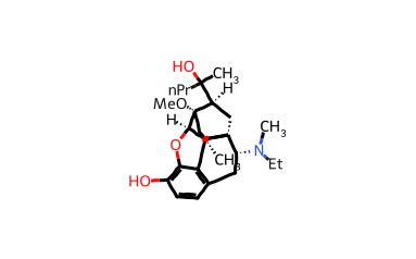 CCCC(C)(O)[C@H]1C[C@@]23CC[C@@]1(OC)[C@@H]1Oc4c(O)ccc(c4[C@@]12C)C[C@H]3N(C)CC